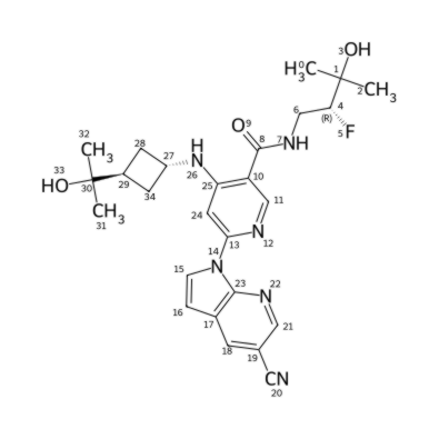 CC(C)(O)[C@H](F)CNC(=O)c1cnc(-n2ccc3cc(C#N)cnc32)cc1N[C@H]1C[C@H](C(C)(C)O)C1